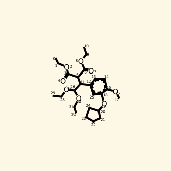 CCOC(=O)C(C(=O)OCC)C(c1ccc(OC)c(OC2CCCC2)c1)C(OCC)OCC